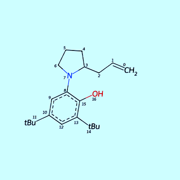 C=CCC1CCCN1c1cc(C(C)(C)C)cc(C(C)(C)C)c1O